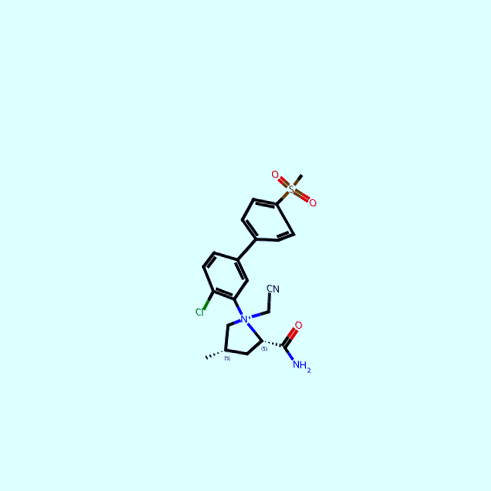 C[C@H]1C[C@@H](C(N)=O)[N+](CC#N)(c2cc(-c3ccc(S(C)(=O)=O)cc3)ccc2Cl)C1